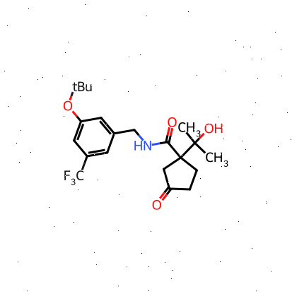 CC(C)(C)Oc1cc(CNC(=O)C2(C(C)(C)O)CCC(=O)C2)cc(C(F)(F)F)c1